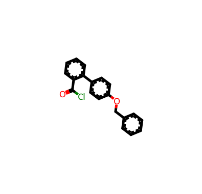 O=C(Cl)c1ccccc1-c1ccc(OCc2ccccc2)cc1